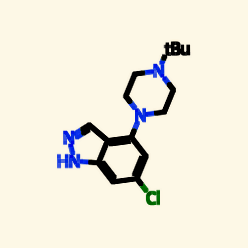 CC(C)(C)N1CCN(c2cc(Cl)cc3[nH]ncc23)CC1